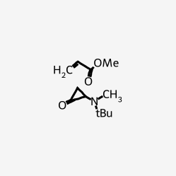 C=CC(=O)OC.CN(C1CC1=O)C(C)(C)C